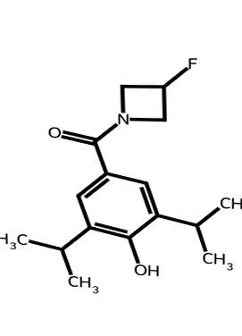 CC(C)c1cc(C(=O)N2CC(F)C2)cc(C(C)C)c1O